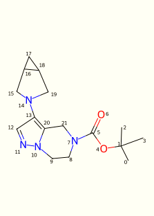 CC(C)(C)OC(=O)N1CCn2ncc(N3CC4CC4C3)c2C1